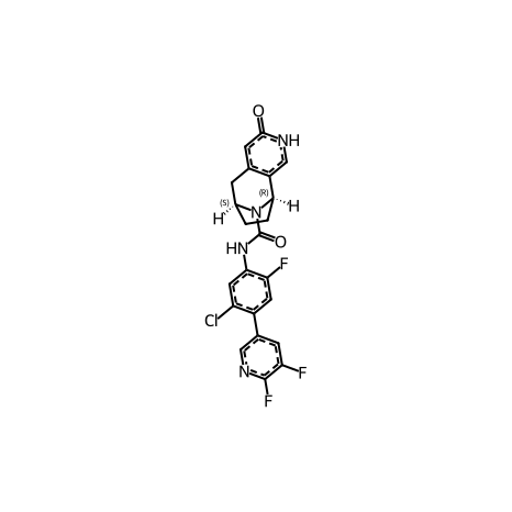 O=C(Nc1cc(Cl)c(-c2cnc(F)c(F)c2)cc1F)N1[C@H]2CC[C@@H]1c1c[nH]c(=O)cc1C2